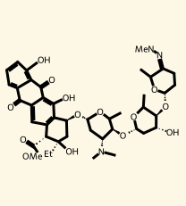 CC[C@@]1(O)C[C@H](O[C@H]2C[C@@H](N(C)C)[C@H](O[C@H]3C[C@@H](O)[C@H](O[C@H]4CC/C(=N/NC)C(C)O4)C(C)O3)C(C)O2)c2c(cc3c(c2O)C(=O)c2c(O)cccc2C3=O)[C@H]1C(=O)OC